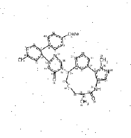 COc1ccc(-c2ccc(Cl)cc2-c2cc(=O)n([C@H]3CCC[C@@H](C)C(=O)Nc4cnn(C)c4-c4ccnc3c4)cn2)cc1